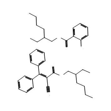 CCCCC(CC)COC(=O)C(C#N)=C(c1ccccc1)c1ccccc1.CCCCC(CC)COC(=O)c1ccccc1O